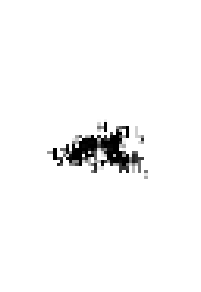 Cc1cc(C(=O)Nc2ccc(S(=O)(=O)NC(C)(C)C)cc2)n(-c2cccc(C(=N)N)c2)n1